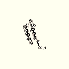 O=C(O)CCCCC(=O)OC[C@@H]1CC(c2ccc(-c3ccc(N4C[C@H](Cn5ccnn5)OC4=O)cc3F)cn2)=NO1.O=C1O[C@@H](Cn2ccnn2)CN1c1ccc(-c2ccc(C3=NO[C@H](CO)C3)nc2)c(F)c1